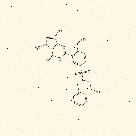 CCCOc1ccc(S(=O)(=O)N(CCO)Cc2ccccc2)cc1-c1nc2c(CCC)nn(C)c2c(=O)[nH]1